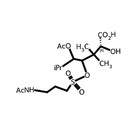 CC(=O)NCCCS(=O)(=O)OC(C(OC(C)=O)C(C)C)C(C)(C)[C@@H](O)C(=O)O